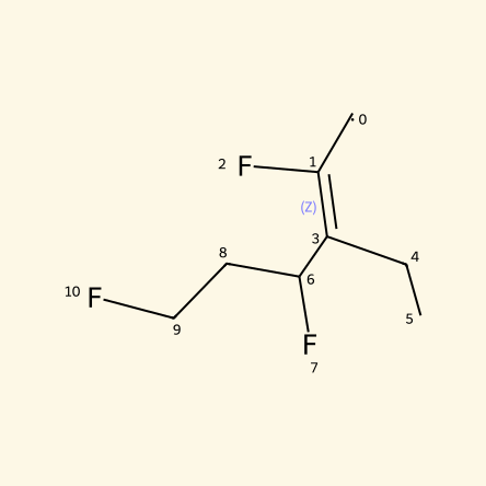 [CH2]/C(F)=C(\CC)C(F)CCF